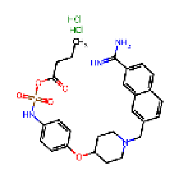 CCCC(=O)OS(=O)(=O)Nc1ccc(OC2CCN(Cc3ccc4ccc(C(=N)N)cc4c3)CC2)cc1.Cl.Cl